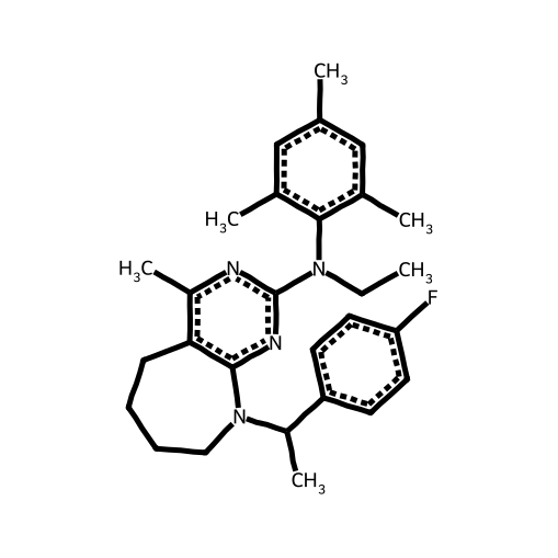 CCN(c1nc(C)c2c(n1)N(C(C)c1ccc(F)cc1)CCCC2)c1c(C)cc(C)cc1C